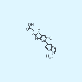 Cn1ccc2cc(-c3nc4nc(SCC(=O)O)[nH]c4cc3Cl)ccc21